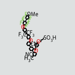 COc1c(F)c(F)c(-c2c(F)c(F)c(Oc3ccc(C(c4ccc(Oc5cccc(-c6ccc(-c7cccc(C)c7C#N)c(C(=O)c7ccc(OCCCCS(=O)(=O)O)cc7)c6)c5C#N)cc4)(C(F)(F)F)C(F)(F)F)cc3)c(F)c2F)c(F)c1F